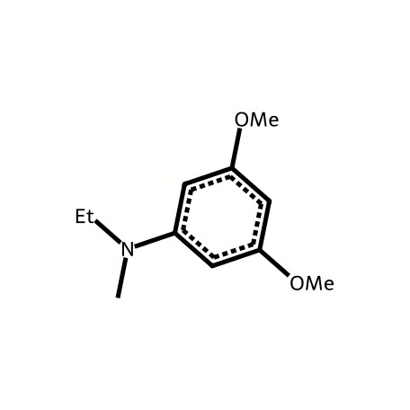 CCN(C)c1cc(OC)cc(OC)c1